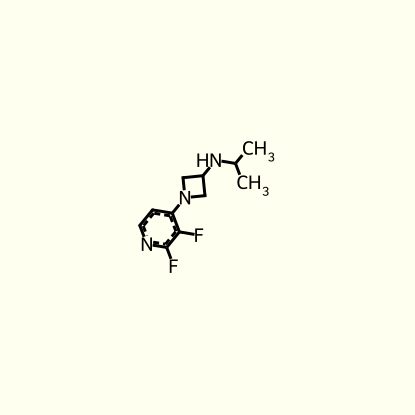 CC(C)NC1CN(c2ccnc(F)c2F)C1